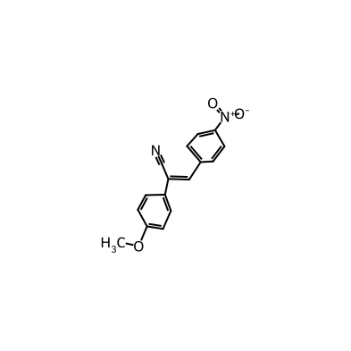 COc1ccc(C(C#N)=Cc2ccc([N+](=O)[O-])cc2)cc1